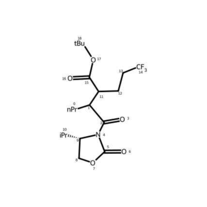 CCCC(C(=O)N1C(=O)OC[C@@H]1C(C)C)C(CCC(F)(F)F)C(=O)OC(C)(C)C